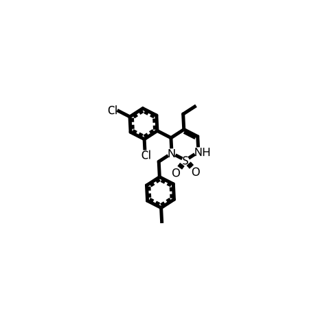 CCC1=CNS(=O)(=O)N(Cc2ccc(C)cc2)C1c1ccc(Cl)cc1Cl